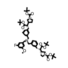 COc1cc(F)cc(CN(Cc2cccc(C[C@H](C(=O)OC(C)(C)C)C3CCN(C(=O)OC(C)(C)C)C3)c2)Cc2cccc(C[C@H](C(=O)OC(C)(C)C)[C@H]3CCN(C(=O)OC(C)(C)C)C3)c2)c1